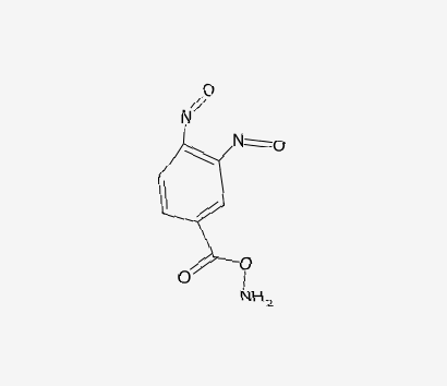 NOC(=O)c1ccc(N=O)c(N=O)c1